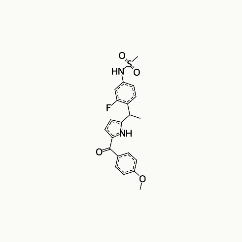 COc1ccc(C(=O)c2ccc(C(C)c3ccc(NS(C)(=O)=O)cc3F)[nH]2)cc1